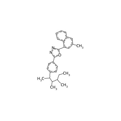 CCC(C)C(C)C(C)c1ccc(-c2nnc(-c3cc(C)cc4ccccc34)o2)cc1